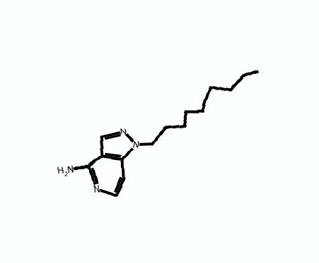 CCCCCCCCCn1ncc2c(N)nccc21